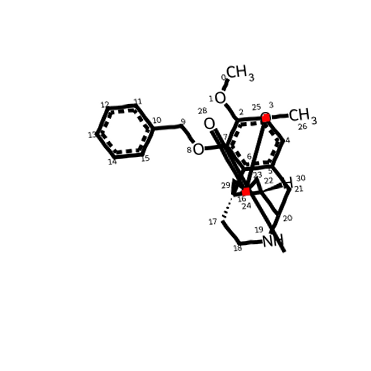 COc1ccc2c(c1OCc1ccccc1)[C@@]13CCNC(C2)[C@H]1CC(OC)C(=O)C3